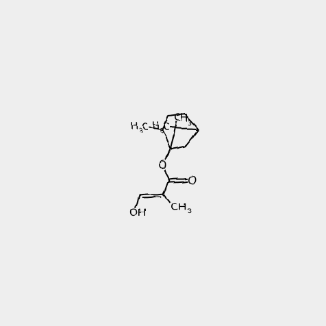 CC(=CO)C(=O)OC12CC(CCC1C)C2(C)C